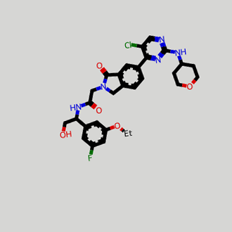 CCOc1cc(F)cc(C(CO)NC(=O)CN2Cc3ccc(-c4nc(NC5CCOCC5)ncc4Cl)cc3C2=O)c1